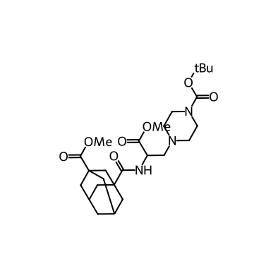 COC(=O)C(CN1CCN(C(=O)OC(C)(C)C)CC1)NC(=O)C12CC3CC(C1)CC(C(=O)OC)(C3)C2